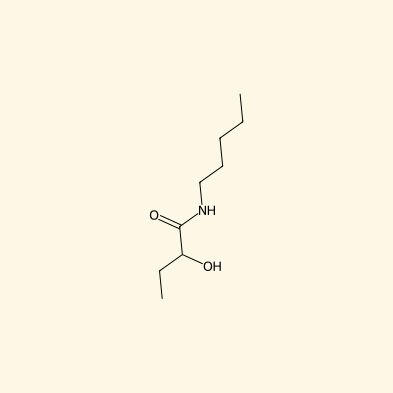 CCCCCNC(=O)C(O)CC